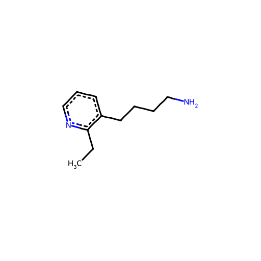 CCc1ncccc1CCCCN